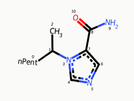 CCCCCC(C)n1cncc1C(N)=O